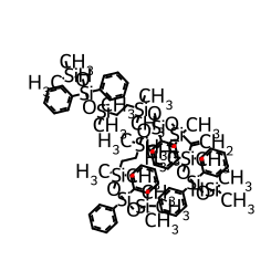 C=C([Si](C)(C)O[Si](O[Si](C)(C)CC[Si](C)(C)O[Si](O[SiH](C)C)(c1ccccc1)c1ccccc1)(O[Si](C)(C)CC[Si](C)(C)O[Si](O[Si](C)(C)C)(c1ccccc1)c1ccccc1)c1ccccc1)[Si](C)(C)O[Si](O[SiH](C)C)(c1ccccc1)c1ccccc1